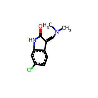 CN(C)C=C1C(=O)Nc2cc(Cl)ccc21